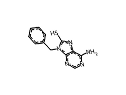 Nc1ncnc2c1nc(S)n2Cc1ccccc1